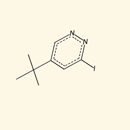 CC(C)(C)c1cnnc(I)c1